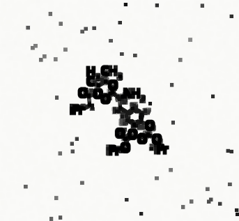 CC(C)CC(=O)OC(C)[C@H](C)OC(=O)[C@@H](N)Cc1ccc(OC(=O)OC(C)C)c(OC(=O)OC(C)C)c1